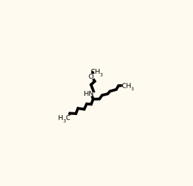 CCCCCCCC(CCCCCCC)NCCCOC